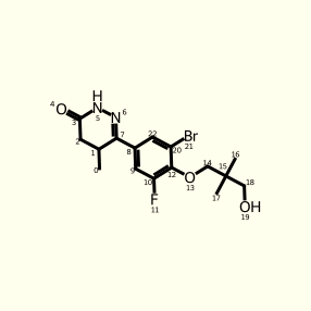 CC1CC(=O)NN=C1c1cc(F)c(OCC(C)(C)CO)c(Br)c1